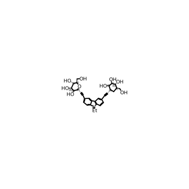 CCn1c2ccc(C#C[C@H]3C[C@H](CO)[C@@H](O)[C@H](O)[C@@H]3O)cc2c2cc(C#C[C@H]3O[C@H](CO)[C@@H](O)[C@H](O)[C@@H]3O)ccc21